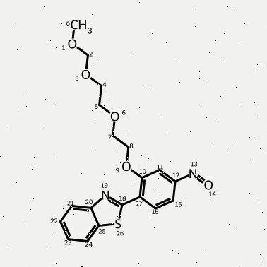 COCOCCOCCOc1cc(N=O)ccc1-c1nc2ccccc2s1